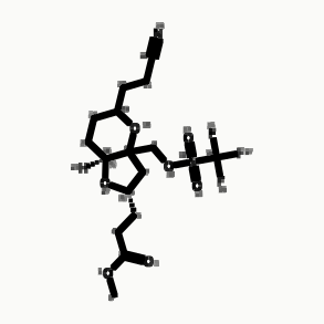 COC(=O)CC[C@H]1CC2(COS(=O)(=O)C(F)(F)F)OC(CCC#N)CC[C@@H]2O1